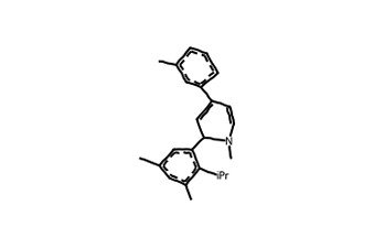 Cc1cccc(C2=CC(c3cc(C)cc(C)c3C(C)C)N(C)C=C2)c1